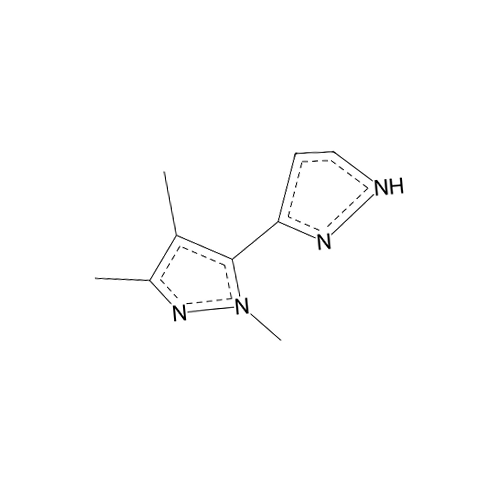 Cc1nn(C)c(-c2cc[nH]n2)c1C